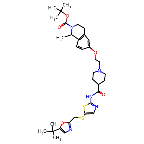 CC1c2ccc(OCCN3CCC(C(=O)Nc4ncc(SCc5ncc(C(C)(C)C)o5)s4)CC3)cc2CCN1C(=O)OC(C)(C)C